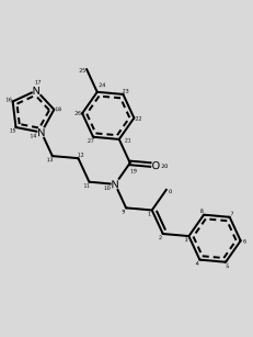 C/C(=C\c1ccccc1)CN(CCCn1ccnc1)C(=O)c1ccc(C)cc1